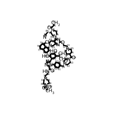 C=CC(=O)N1CCN(c2nc(OCCN3CCC(C(=O)N4CCN(Cc5ccc(-n6c(C(=O)NCCN7CCN(S(C)(=O)=O)CC7)nnc6-c6cc(C(C)C)c(O)cc6O)cc5)CC4)CC3)nc3c2CCN(c2cccc4cccc(Cl)c24)C3)C[C@@H]1CC#N